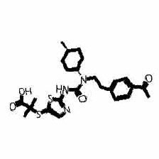 CC(=O)c1ccc(CCN(C(=O)Nc2ncc(SC(C)(C)C(=O)O)s2)[C@H]2CC[C@H](C)CC2)cc1